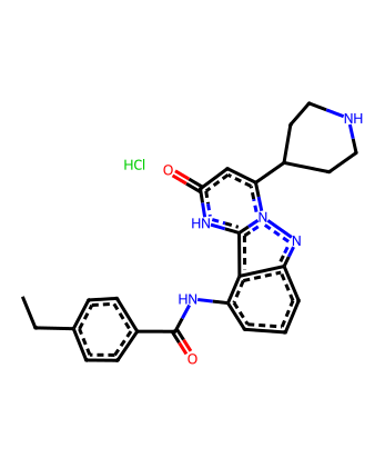 CCc1ccc(C(=O)Nc2cccc3nn4c(C5CCNCC5)cc(=O)[nH]c4c23)cc1.Cl